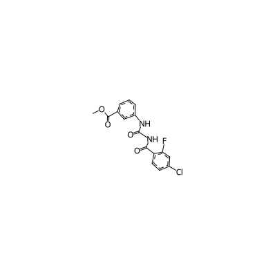 COC(=O)c1cccc(NC(=O)NC(=O)c2ccc(Cl)cc2F)c1